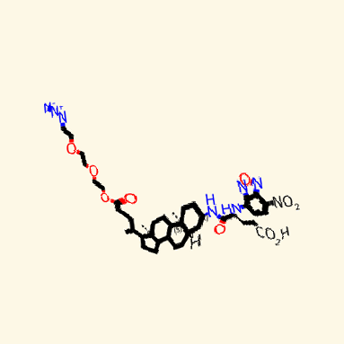 CC(CCC(=O)OCCOCCOCCN=[N+]=[N-])C1CCC2C3CC[C@@H]4C[C@H](NC(=O)[C@H](CCC(=O)O)Nc5ccc([N+](=O)[O-])c6nonc56)CC[C@]4(C)C3CC[C@]12C